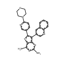 Nc1nc(N)c2sc(-c3ccc(N4CCOCC4)nc3)c(-c3cnc4ccccc4c3)c2n1